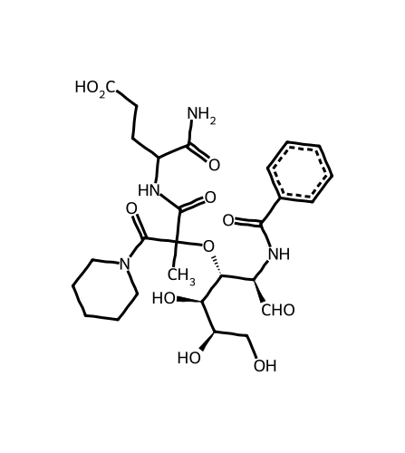 CC(O[C@@H]([C@H](O)[C@H](O)CO)[C@H](C=O)NC(=O)c1ccccc1)(C(=O)NC(CCC(=O)O)C(N)=O)C(=O)N1CCCCC1